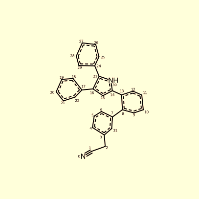 N#CCc1cccc(-c2ccccc2-c2cc(-c3ccccc3)c(-c3ccccc3)[nH]2)c1